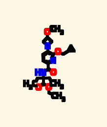 CCOC(=O)C(CC)(CC)NC(=O)c1ccc(N2CC(OC)C2)c(OCC2CC2)n1